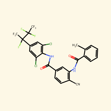 Cc1ccccc1C(=O)Nc1cc(C(=O)Nc2c(Cl)cc(C(F)(C(F)(F)F)C(F)(F)C(F)(F)F)cc2Cl)ccc1C#N